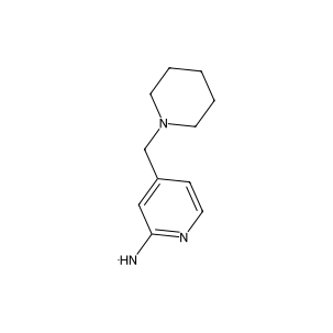 [NH]c1cc(CN2CCCCC2)ccn1